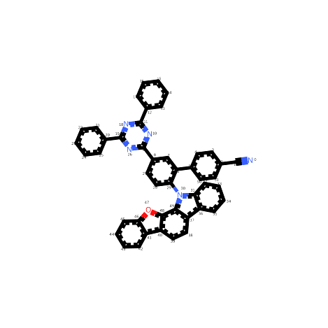 N#Cc1ccc(-c2cc(-c3nc(-c4ccccc4)nc(-c4ccccc4)n3)ccc2-n2c3ccccc3c3ccc4c5ccccc5oc4c32)cc1